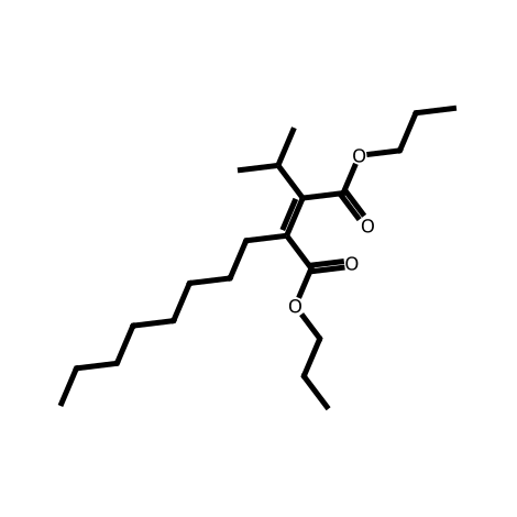 CCCCCCCC/C(C(=O)OCCC)=C(/C(=O)OCCC)C(C)C